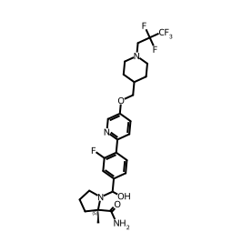 C[C@@]1(C(N)=O)CCCN1C(O)c1ccc(-c2ccc(OCC3CCN(CC(F)(F)C(F)(F)F)CC3)cn2)c(F)c1